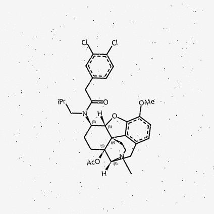 COc1ccc2c3c1O[C@H]1[C@H](N(CC(C)C)C(=O)Cc4ccc(Cl)c(Cl)c4)CC[C@@]4(OC(C)=O)[C@@H](C2)N(C)CC[C@]314